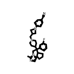 Cc1nccn1CC(c1cccc(F)c1)(C1CCCC1)C1CCN(CC2CN(c3ccc(C#N)cc3)C2)CC1